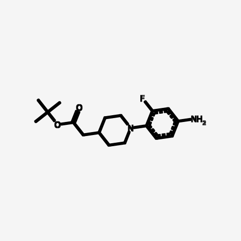 CC(C)(C)OC(=O)CC1CCN(c2ccc(N)cc2F)CC1